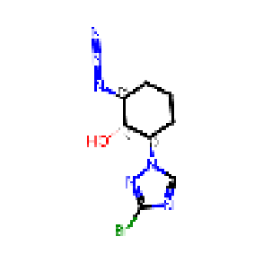 [N-]=[N+]=N[C@H]1CCC[C@@H](n2cnc(Br)n2)[C@@H]1O